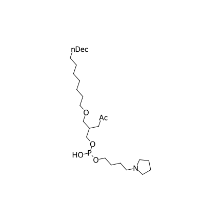 CCCCCCCCCCCCCCCCCOCC(COP(O)OCCCCN1CCCC1)CC(C)=O